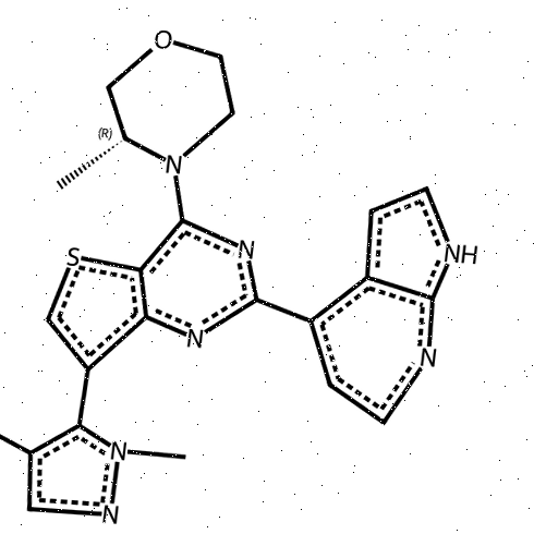 Cc1cnn(C)c1-c1csc2c(N3CCOC[C@H]3C)nc(-c3ccnc4[nH]ccc34)nc12